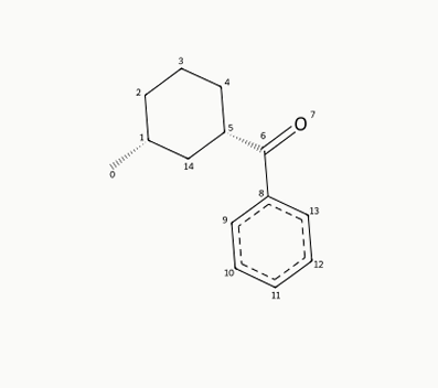 C[C@@H]1CCC[C@H](C(=O)c2ccccc2)C1